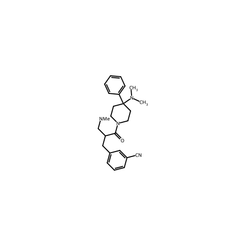 CNCC(Cc1cccc(C#N)c1)C(=O)N1CCC(c2ccccc2)(N(C)C)CC1